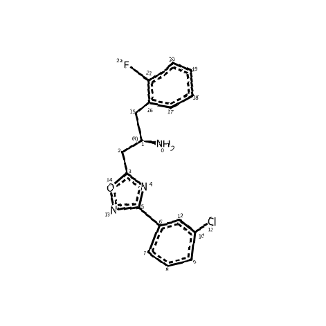 N[C@@H](Cc1nc(-c2cccc(Cl)c2)no1)Cc1ccccc1F